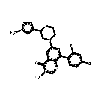 Cn1cc(C2CN(c3cc4c(=O)n(C)cnc4c(-c4ccc(Cl)cc4F)n3)CCO2)cn1